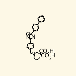 O=C(O)C1(C(=O)O)CCCN(Cc2ccc(-c3noc(-c4ccc(-c5ccccc5)cc4)n3)cc2)C1